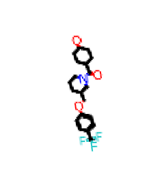 O=C1CCC(C(=O)N2CCCC(COc3ccc(C(F)(F)F)cc3)C2)CC1